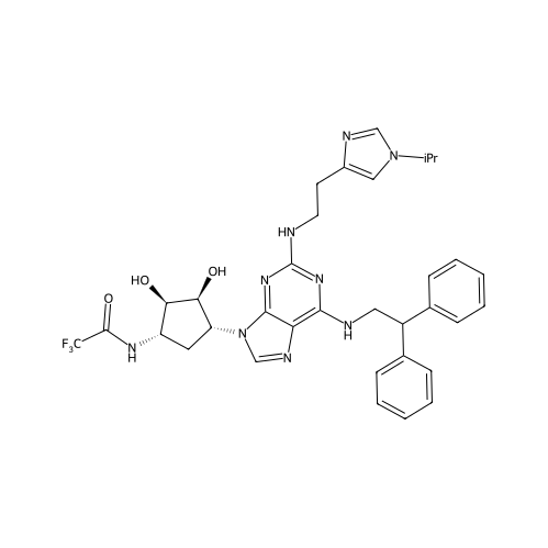 CC(C)n1cnc(CCNc2nc(NCC(c3ccccc3)c3ccccc3)c3ncn([C@@H]4C[C@H](NC(=O)C(F)(F)F)[C@@H](O)[C@H]4O)c3n2)c1